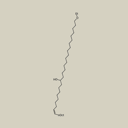 CCCCCCCC/C=C\CCCCCCCC(O)CCCCCCCCCCCCCCCCOCC